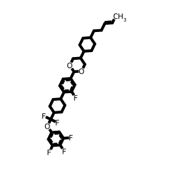 C/C=C/CCC1CCC(C2COC(c3ccc(C4CCC(C(F)(F)Oc5cc(F)c(F)c(F)c5)CC4)c(F)c3)OC2)CC1